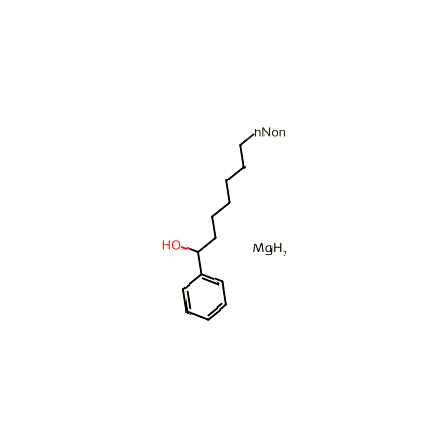 CCCCCCCCCCCCCCCC(O)c1ccccc1.[MgH2]